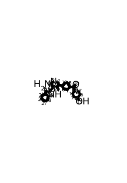 Nc1ncc(-c2ccc(C(=O)N3CCC(O)CC3)cc2)nc1-c1nc2ccccc2[nH]1